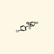 O=S(=O)(c1ccc(Cl)cc1)N1C2CNC1N2